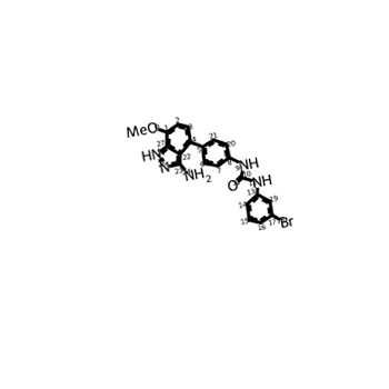 COc1ccc(-c2ccc(NC(=O)Nc3cccc(Br)c3)cc2)c2c(N)n[nH]c12